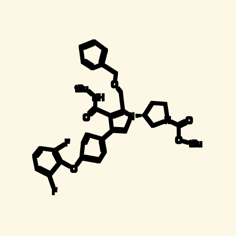 CC(C)(C)NC(=O)c1c(-c2ccc(Oc3c(F)cccc3F)cc2)cn([C@@H]2CCN(C(=O)OC(C)(C)C)C2)c1COCc1ccccc1